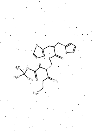 C=C(CCC)[C@@H](CSC(=O)N(Cc1cccs1)Cc1cccs1)NC(=O)OC(C)(C)C